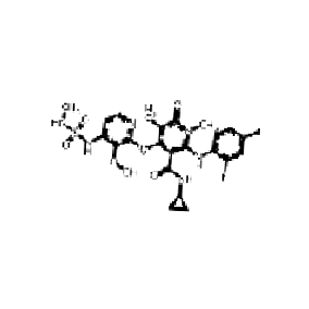 CNS(=O)(=O)Nc1ccnc(Oc2c(C(=O)NC3CC3)c(Nc3ccc(I)cc3F)n(C)c(=O)c2C)c1OC